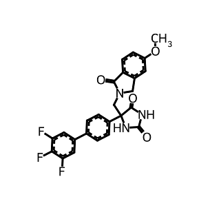 COc1ccc2c(c1)CN(CC1(c3ccc(-c4cc(F)c(F)c(F)c4)cc3)NC(=O)NC1=O)C2=O